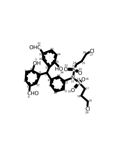 O=Cc1ccc(O)c(C(c2cccc(N(S(=O)(=O)CCCCl)S(=O)(=O)CCCCl)c2)c2cc(C=O)ccc2O)c1